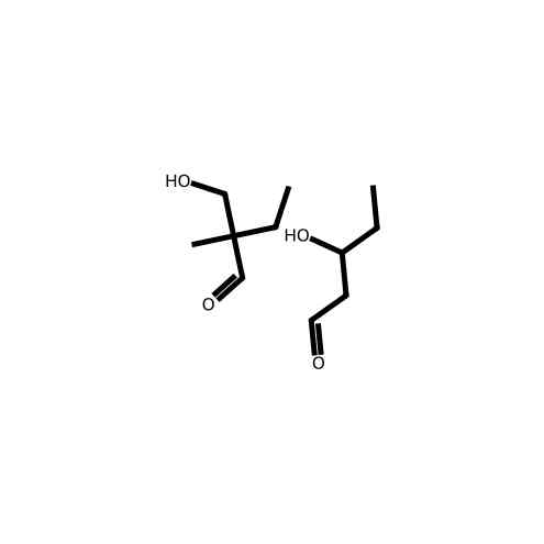 CCC(C)(C=O)CO.CCC(O)CC=O